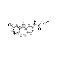 COCC(=O)Nc1ccc2ccc3ncc(Cl)cc3c(=O)c2c1